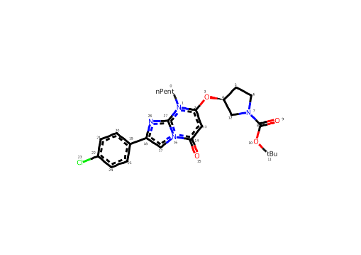 CCCCCn1c(O[C@H]2CCN(C(=O)OC(C)(C)C)C2)cc(=O)n2cc(-c3ccc(Cl)cc3)nc12